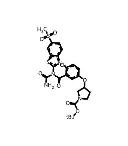 CC(C)(C)OC(=O)N1CCC(Oc2ccc(Cl)c(C(=O)N(C(N)=O)c3nc4ccc(S(C)(=O)=O)cc4s3)c2)C1